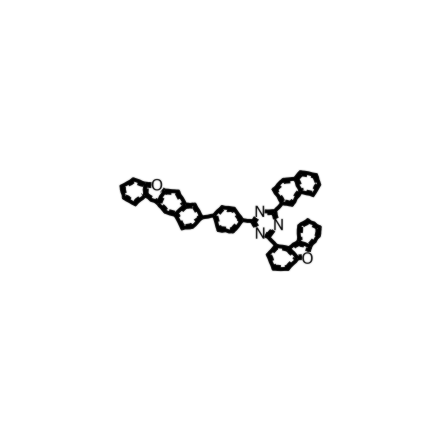 c1ccc2cc(-c3nc(-c4ccc(-c5ccc6cc7c(cc6c5)oc5ccccc57)cc4)nc(-c4cccc5oc6ccccc6c45)n3)ccc2c1